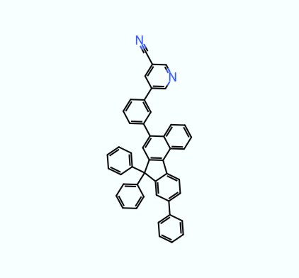 N#Cc1cncc(-c2cccc(-c3cc4c(c5ccccc35)-c3ccc(-c5ccccc5)cc3C4(c3ccccc3)c3ccccc3)c2)c1